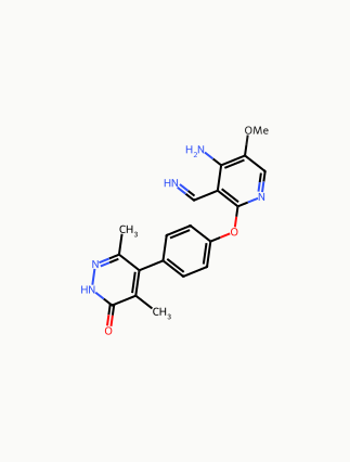 COc1cnc(Oc2ccc(-c3c(C)n[nH]c(=O)c3C)cc2)c(C=N)c1N